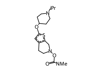 CNC(=O)ON1CCc2cc(OC3CCN(C(C)C)CC3)sc2C1